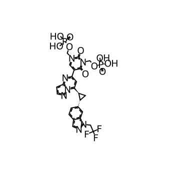 O=c1c(-c2cc([C@H]3C[C@@H]3c3ccc4cnn(CC(F)(F)F)c4c3)n3nccc3n2)cn(COP(=O)(O)O)c(=O)n1COP(=O)(O)O